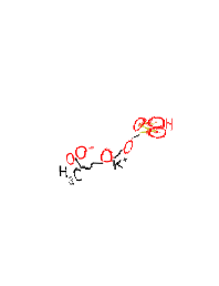 CC(=CCCOCCOCCS(=O)(=O)O)C(=O)[O-].[K+]